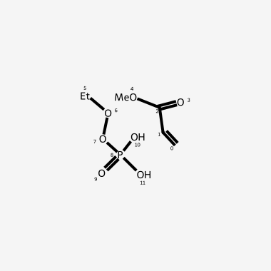 C=CC(=O)OC.CCOOP(=O)(O)O